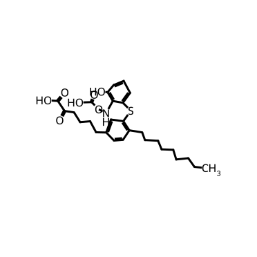 CCCCCCCCCc1ccc(CCCCC(=O)C(=O)O)cc1Sc1cccc(O)c1NOC(=O)O